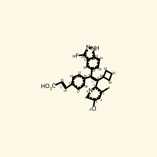 Cc1cc(Cl)cnc1/C(=C(\c1ccc(/C=C/C(=O)O)cc1)c1ccc2[nH]nc(F)c2c1)C1CCC1